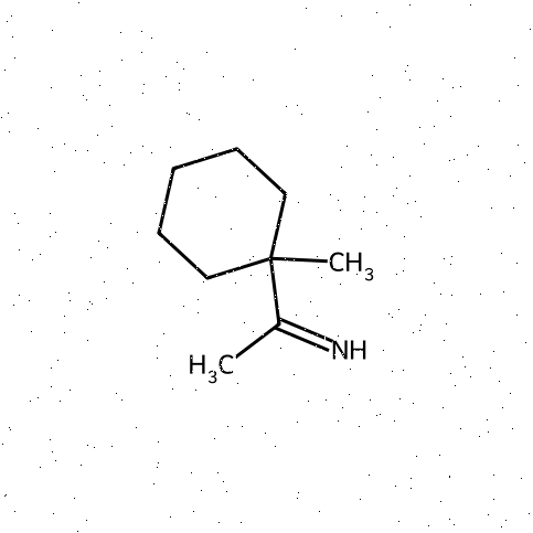 CC(=N)C1(C)CCCCC1